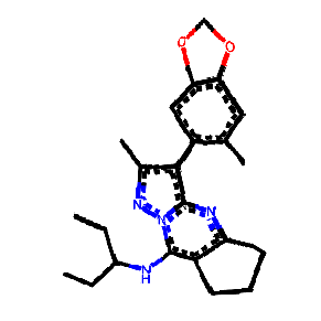 CCC(CC)Nc1c2c(nc3c(-c4cc5c(cc4C)OCO5)c(C)nn13)CCC2